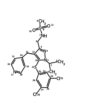 CC(C)n1nc(CNS(C)(=O)=O)c(Cc2ccncc2)c1Sc1cc(Cl)cc(Cl)c1